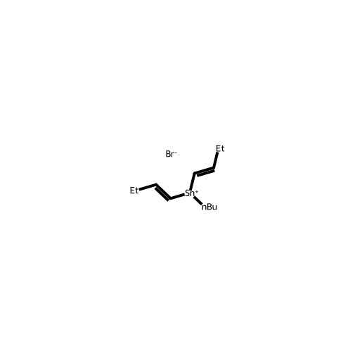 CC/C=[CH]/[Sn+](/[CH]=C/CC)[CH2]CCC.[Br-]